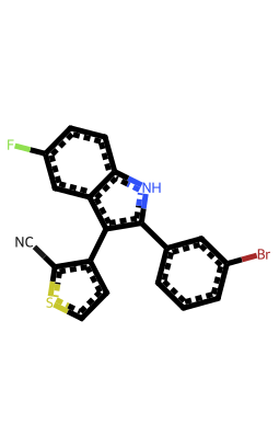 N#Cc1sccc1-c1c(-c2cccc(Br)c2)[nH]c2ccc(F)cc12